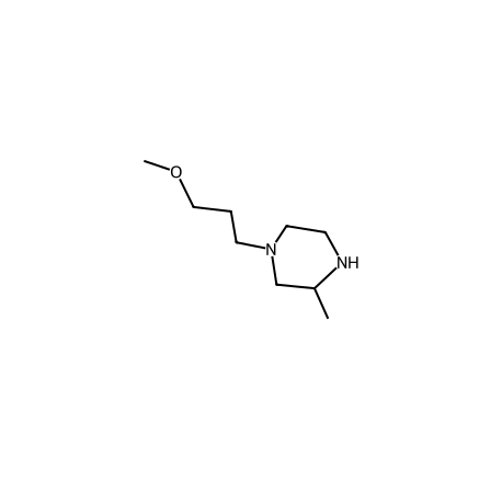 COCCCN1CCNC(C)C1